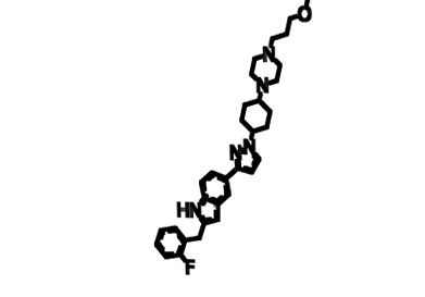 COCCCN1CCN(C2CCC(n3ccc(-c4ccc5[nH]c(Cc6ccccc6F)cc5c4)n3)CC2)CC1